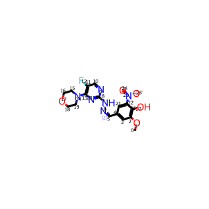 COc1cc(/C=N\Nc2ncc(F)c(N3CCOCC3)n2)cc([N+](=O)[O-])c1O